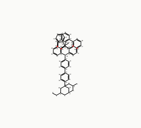 CCC1CC2CC(C)CC(c3ccc(-c4ccc(N(c5ccccc5-c5cccc6cccc(-c7ccccc7)c56)c5cccc6c5C(C)(C)c5ccccc5-6)cc4)cc3)(C1)C2